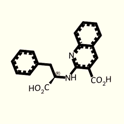 O=C(O)c1cc2ccccc2nc1N[C@H](Cc1ccccc1)C(=O)O